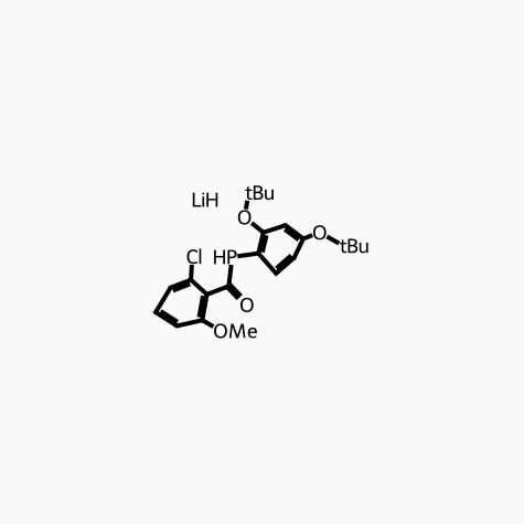 COc1cccc(Cl)c1C(=O)Pc1ccc(OC(C)(C)C)cc1OC(C)(C)C.[LiH]